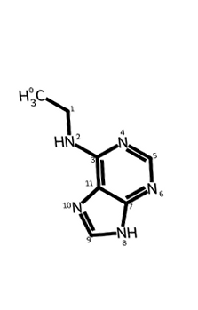 CCNc1ncnc2[nH]cnc12